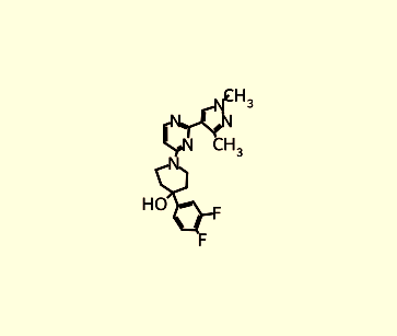 Cc1nn(C)cc1-c1nccc(N2CCC(O)(c3ccc(F)c(F)c3)CC2)n1